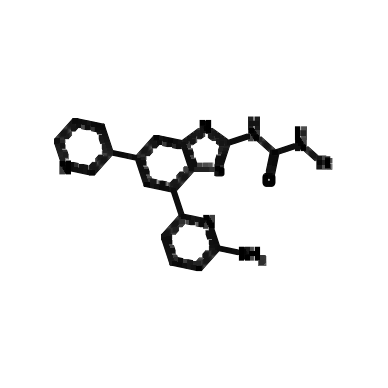 CCNC(=O)Nc1nc2cc(-c3cccnc3)cc(-c3cccc(N)n3)c2s1